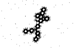 CCc1c(-c2ccc(N(c3ccc(-c4ccccc4)cc3)c3ccc4sc5ccccc5c4c3)cc2)cc2c3ccccc3n(-c3ccc4ccccc4c3)c2c1-c1ccccc1